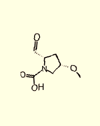 CO[C@H]1C[C@@H](C=O)N(C(=O)O)C1